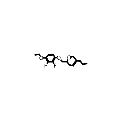 CCCC1=CCC(COc2ccc(OCC)c(F)c2F)OC1